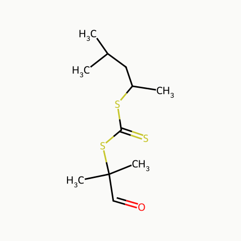 CC(C)CC(C)SC(=S)SC(C)(C)C=O